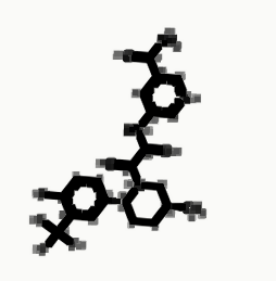 C[C@H]1CC[C@H](c2ccc(F)c(C(F)(F)F)c2)N(C(=O)C(=O)Nc2cncc(C(N)=O)c2)C1